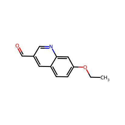 CCOc1ccc2cc(C=O)cnc2c1